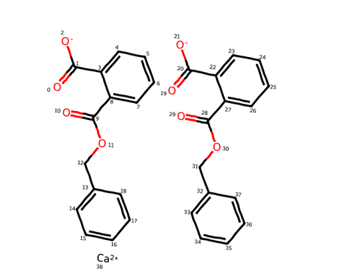 O=C([O-])c1ccccc1C(=O)OCc1ccccc1.O=C([O-])c1ccccc1C(=O)OCc1ccccc1.[Ca+2]